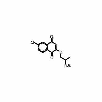 CCCCC(I)COC1=CC(=O)c2cc(Cl)ccc2C1=O